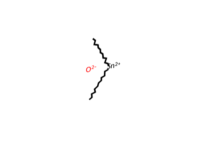 CCCCCCCCCCC[CH2][Sn+2][CH2]CCCCCCCCCCC.[O-2]